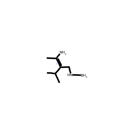 BNC/C(=C(/C)N)C(C)C